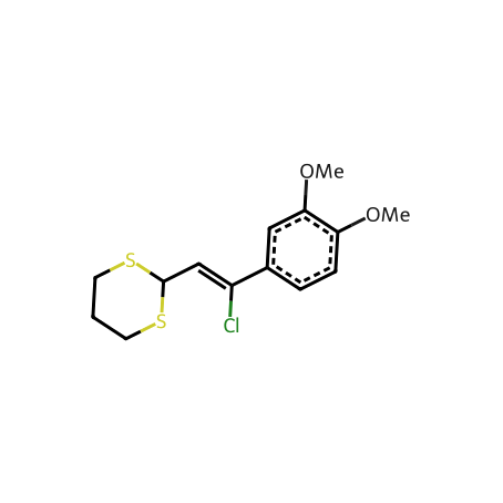 COc1ccc(C(Cl)=CC2SCCCS2)cc1OC